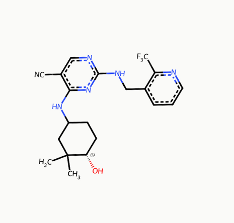 CC1(C)CC(Nc2nc(NCc3cccnc3C(F)(F)F)ncc2C#N)CC[C@@H]1O